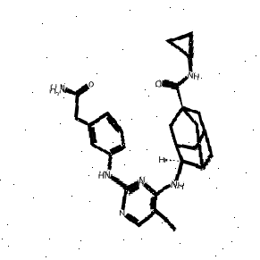 Cc1cnc(Nc2cccc(CC(N)=O)c2)nc1N[C@H]1C2CC3CC1C[C@@](C(=O)NC1CC1)(C3)C2